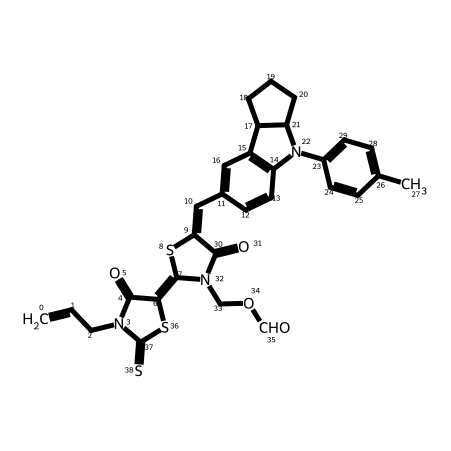 C=CCN1C(=O)/C(=c2\s/c(=C/c3ccc4c(c3)C3CCCC3N4c3ccc(C)cc3)c(=O)n2COC=O)SC1=S